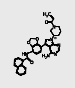 C=CC(=O)N1CCC[C@@H](n2cc(-c3ccc(NC(=O)c4cccc5ccccc45)c4c3OCO4)c3c(N)ncnc32)C1